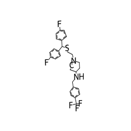 Fc1ccc(C(SCCN2CCC(NCc3ccc(C(F)(F)F)cc3)CC2)c2ccc(F)cc2)cc1